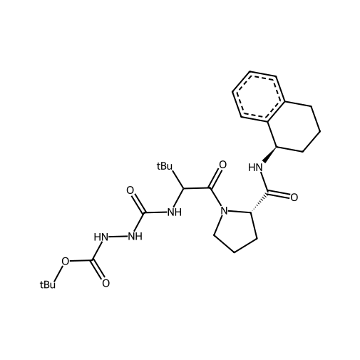 CC(C)(C)OC(=O)NNC(=O)NC(C(=O)N1CCC[C@H]1C(=O)N[C@@H]1CCCc2ccccc21)C(C)(C)C